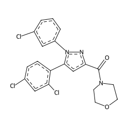 O=C(c1cc(-c2ccc(Cl)cc2Cl)n(-c2cccc(Cl)c2)n1)N1CCOCC1